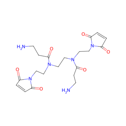 NCCC(=O)N(CCN(CCN1C(=O)C=CC1=O)C(=O)CCN)CCN1C(=O)C=CC1=O